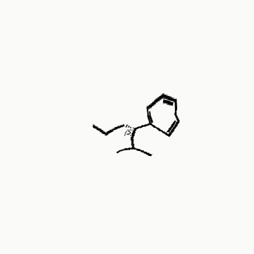 CCC[C@H](c1ccccc1)C(C)C